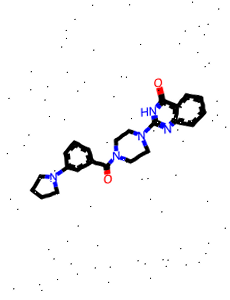 O=C(c1cccc(N2CCCC2)c1)N1CCN(c2nc3ccccc3c(=O)[nH]2)CC1